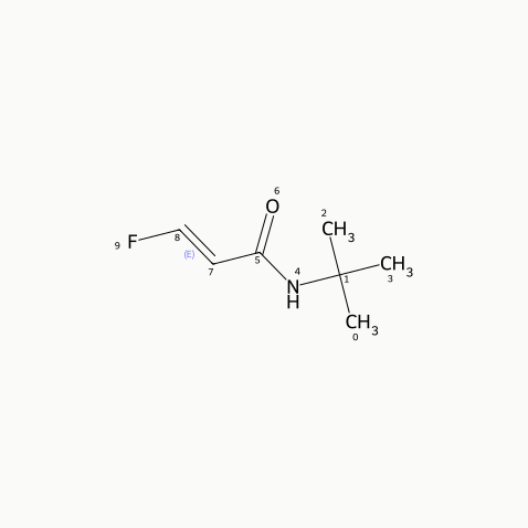 CC(C)(C)NC(=O)/C=C/F